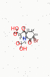 O=C(O)Cn1cc(C(=O)O)c(=O)c2cccc(Br)c(=O)c21